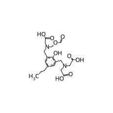 CCCc1cc(CN(COC=O)CC(=O)O)c(O)c(CN(CC(=O)O)CC(=O)O)c1